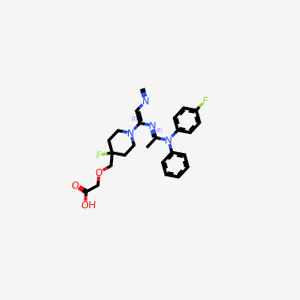 C=N/C=C(\N=C(/C)N(c1ccccc1)c1ccc(F)cc1)N1CCC(F)(COCC(=O)O)CC1